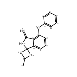 CC1OC2(NC(=N)c3c(Oc4ccccc4)cccc32)O1